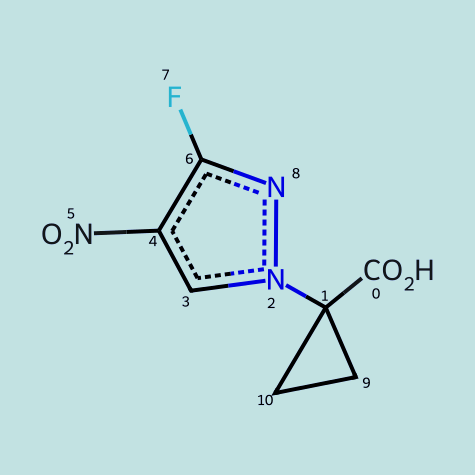 O=C(O)C1(n2cc([N+](=O)[O-])c(F)n2)CC1